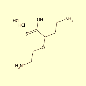 Cl.Cl.NCCOC(CCN)C(O)=S